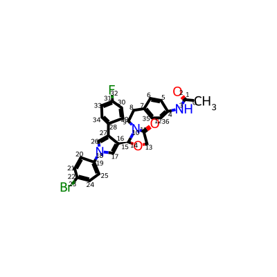 CC(=O)Nc1ccc(CCN2C(=O)CO[C@H]2c2cn(-c3ccc(Br)cc3)cc2-c2ccc(F)cc2)cc1